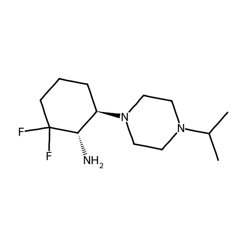 CC(C)N1CCN([C@@H]2CCCC(F)(F)[C@H]2N)CC1